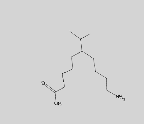 CC(C)C(CCCCN)CCCCC(=O)O